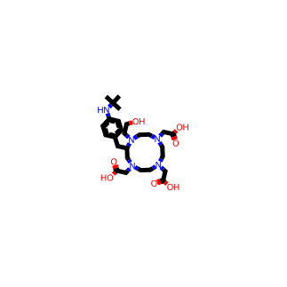 CC(C)(C)Nc1ccc(CC2CN(CC(=O)O)CCN(CC(=O)O)CCN(CC(=O)O)CCN2CCO)cc1